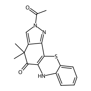 CC(=O)n1cc2c(n1)C1=C(Nc3ccccc3S1)C(=O)C2(C)C